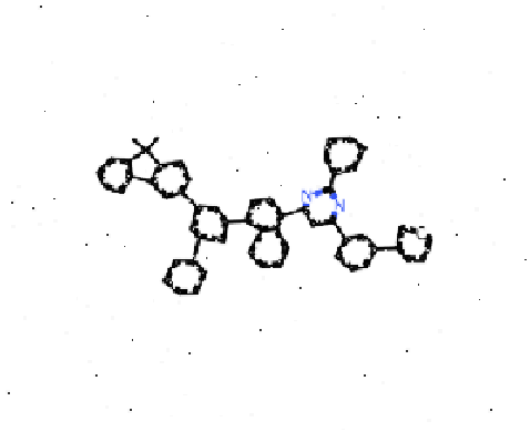 CC1(C)c2ccccc2-c2cc(-c3cc(-c4ccccc4)cc(-c4ccc(-c5cc(-c6cccc(-c7ccccc7)c6)nc(-c6ccccc6)n5)c5ccccc45)c3)ccc21